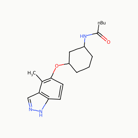 CCCCC(=O)NC1CCCC(Oc2ccc3[nH]ncc3c2C)C1